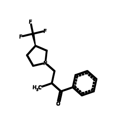 CC(CN1CC[C@@H](C(F)(F)F)C1)C(=O)c1ccccc1